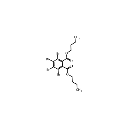 CCCCOC(=O)c1c(Br)c(Br)c(Br)c(Br)c1C(=O)OCCCC